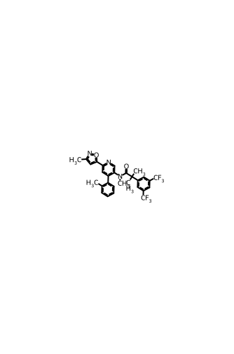 Cc1cc(-c2cc(-c3ccccc3C)c(N(C)C(=O)C(C)(C)c3cc(C(F)(F)F)cc(C(F)(F)F)c3)cn2)on1